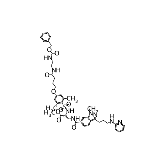 COC(=O)[C@H](CNC(=O)c1ccc2c(CCCNc3ccccn3)nn(C)c2c1)NS(=O)(=O)c1c(C)cc(OCCCC(=O)NCCNC(=O)OCc2ccccc2)cc1C